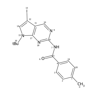 Cc1ccc(C(=O)Nc2ncc3c(I)cn(C(C)(C)C)c3n2)cc1